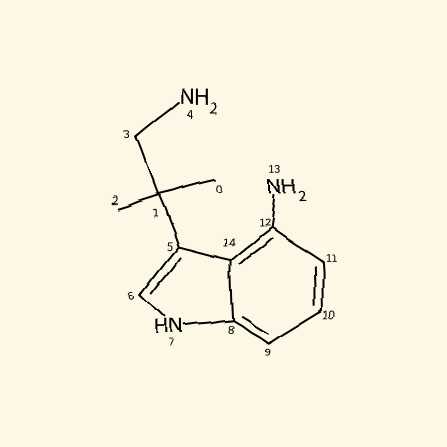 CC(C)(CN)c1c[nH]c2cccc(N)c12